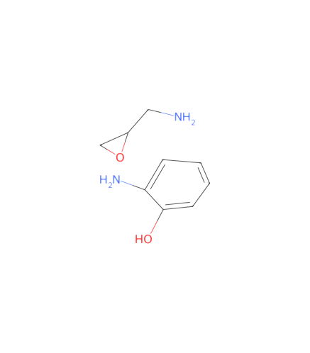 NCC1CO1.Nc1ccccc1O